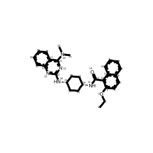 CCOc1ccc2ccccc2c1C(=O)N[C@H]1CC[C@@H](Nc2nc(N(C)C)c3ccccc3n2)CC1